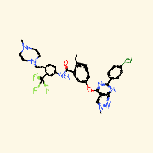 Cc1ccc(Oc2nc(-c3ccc(Cl)cc3)nc3nn(C)cc23)cc1C(=O)Nc1ccc(CN2CCN(C)CC2)c(C(F)(F)F)c1